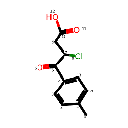 Cc1ccc(C(=O)C(Cl)CC(=O)O)cc1